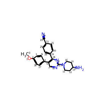 COc1ccc(-c2cnc(N3CCC(N)CC3)nc2-c2ccc(C#N)cc2)cc1